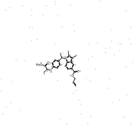 C=CCOC(=O)c1ccc2c(c1)c(C)c(C)n2C(C)c1ccc(O[C@@H](C)C(=O)OC)cc1